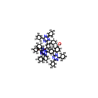 O=C1c2ccccc2C(c2cc(-c3nc(-c4ccccc4)nc(-c4ccccc4)n3)cc(-c3nc(-c4ccccc4)nc(-c4ccccc4)n3)c2)(c2cc(-c3nc(-c4ccccc4)nc(-c4ccccc4)n3)cc(-c3nc(-c4ccccc4)nc(-c4ccccc4)n3)c2)c2ccccc21